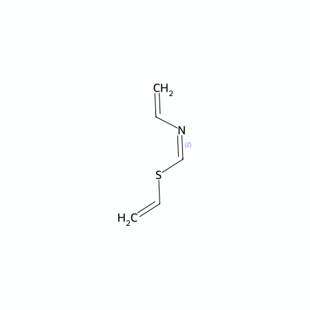 C=C/N=C\SC=C